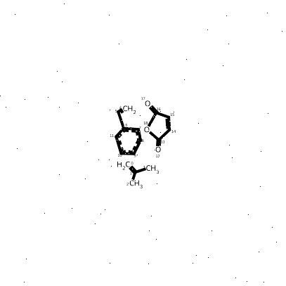 C=C(C)C.C=Cc1ccccc1.O=C1C=CC(=O)O1